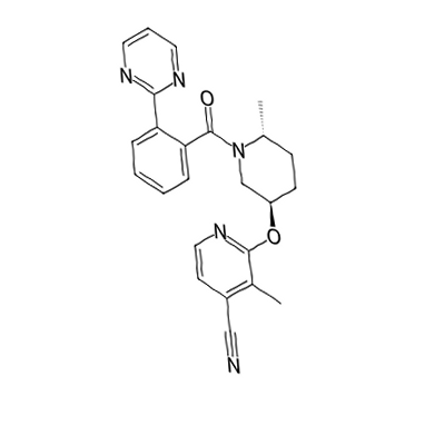 Cc1c(C#N)ccnc1O[C@@H]1CC[C@@H](C)N(C(=O)c2ccccc2-c2ncccn2)C1